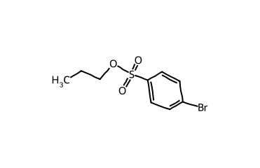 CCCOS(=O)(=O)c1ccc(Br)cc1